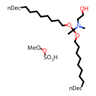 CCCCCCCCCCCCCCCCCCOC(C)(OCCCCCCCCCCCCCCCCCC)N(C)CCO.COOS(=O)(=O)O